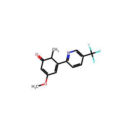 COC1=CC(=O)C(C)C(c2ccc(C(F)(F)F)cn2)=C1